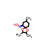 CC1CCC2(OC(C)C(C)O2)C(=NO)C1